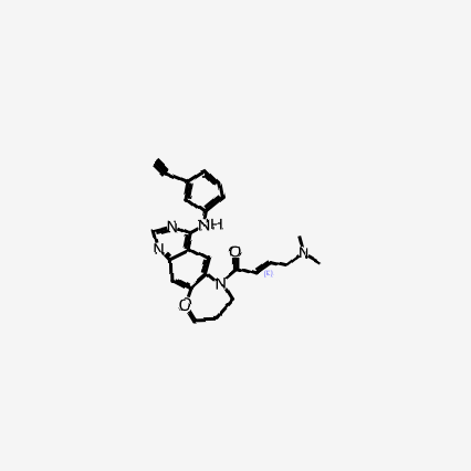 C#Cc1cccc(Nc2ncnc3cc4c(cc23)N(C(=O)/C=C/CN(C)C)CCCO4)c1